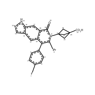 CC(C)c1c(-c2ccc(F)cc2)c2cc3cn[nH]c3cc2c(=O)n1C12CC(C(=O)O)(C1)C2